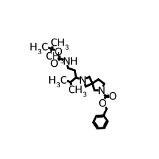 CC(C)C(CCNC(=O)OC(C)(C)C)N1CC2(CCN(C(=O)OCc3ccccc3)C2)C1